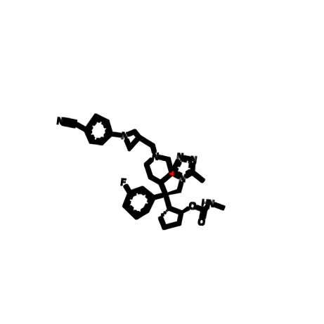 CNC(=O)O[C@H]1CCC[C@@H]1[C@](Cn1cnnc1C)(c1cccc(F)c1)C1CCN(CC2CN(c3ccc(C#N)cc3)C2)CC1